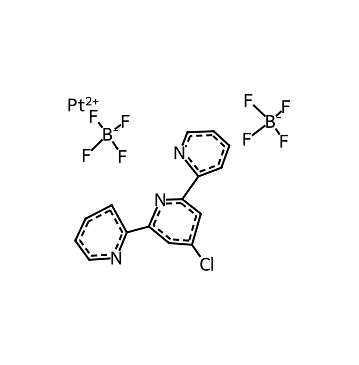 Clc1cc(-c2ccccn2)nc(-c2ccccn2)c1.F[B-](F)(F)F.F[B-](F)(F)F.[Pt+2]